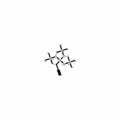 C#CC[Si](O[Si](C)(C)C)(O[Si](C)(C)C)O[Si](C)(C)C